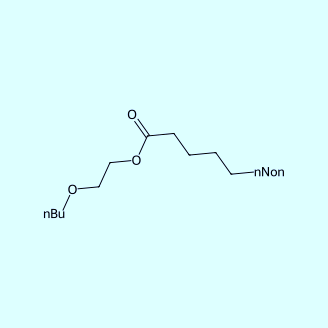 CCCCCCCCCCCCCC(=O)OCCOCCCC